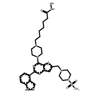 CS(=O)(=O)N1CCN(Cc2cc3nc(-c4cccc5[nH]ncc45)nc(N4CCN(CCCCCCC(=O)NO)CC4)c3s2)CC1